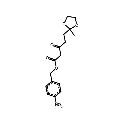 CC1(CCC(=O)CC(=O)OCc2ccc([N+](=O)[O-])cc2)OCCO1